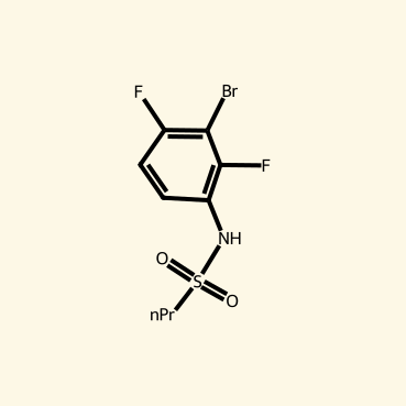 CCCS(=O)(=O)Nc1ccc(F)c(Br)c1F